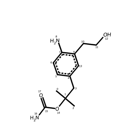 CC(C)(Cc1ccc(N)c(CCO)c1)OC(N)=O